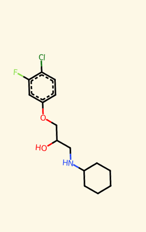 OC(CNC1CCCCC1)COc1ccc(Cl)c(F)c1